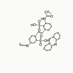 CC(=O)Nc1cccc(/C=C/c2ccc(N=C=S)cc2S(=O)(=O)O)c1S(=O)(=O)O.c1ccc2nc3ccccc3cc2c1